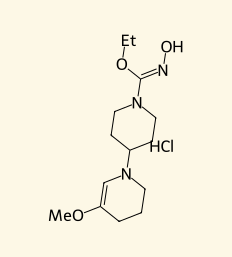 CCOC(=NO)N1CCC(N2C=C(OC)CCC2)CC1.Cl